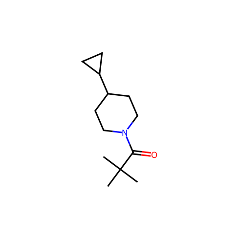 CC(C)(C)C(=O)N1CCC(C2CC2)CC1